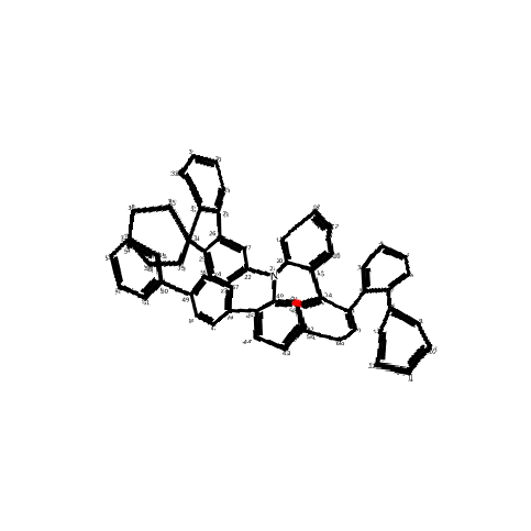 C1=C(c2ccccc2-c2ccccc2)C(c2ccccc2N(c2ccc3c(c2)-c2ccccc2C32CCCCC2)c2ccccc2-c2ccc(-c3ccccc3)cc2)=CCC1